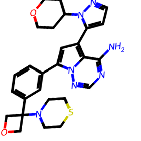 Nc1ncnn2c(-c3cccc(C4(N5CCSCC5)COC4)c3)cc(-c3ccnn3C3CCOCC3)c12